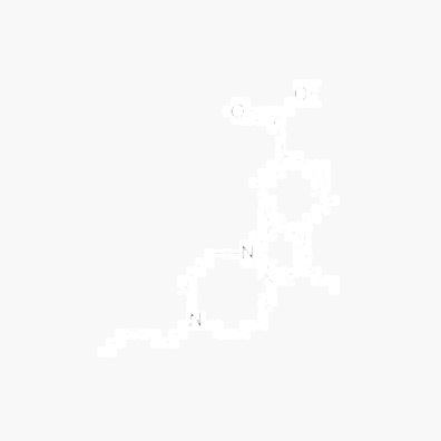 CCCN1CCc2c(C)c3ccc(C(=O)O)cc3n2CC1